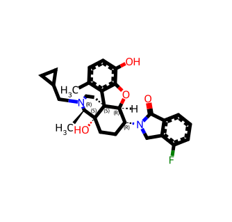 Cc1ccc(O)c2c1[C@]13CCN(CC4CC4)[C@H](C)[C@]1(O)CC[C@@H](N1Cc4c(F)cccc4C1=O)[C@@H]3O2